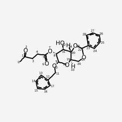 CC(=O)CCC(=O)O[C@H]1[C@H](OCc2ccccc2)O[C@@H]2COC(c3ccccc3)O[C@H]2[C@@H]1O